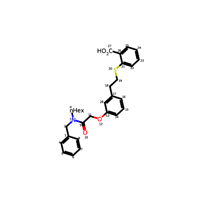 CCCCCCN(Cc1ccccc1)C(=O)COc1cccc(CCSc2ccccc2C(=O)O)c1